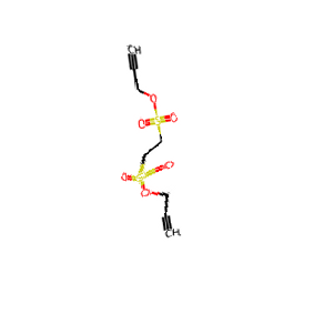 C#CCOS(=O)(=O)CCS(=O)(=O)OCC#C